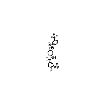 O=C(NC1CCC(CS(=O)(=O)c2cccc(C(F)(F)F)c2)CC1)c1ccc(F)c(C(F)(F)F)c1